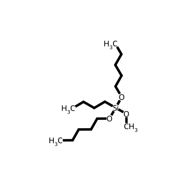 CCCCCO[Si](CCCC)(OC)OCCCCC